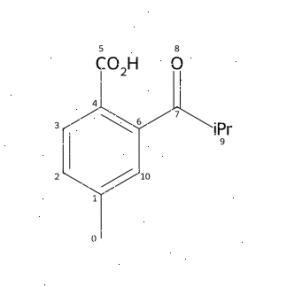 Cc1ccc(C(=O)O)c(C(=O)C(C)C)c1